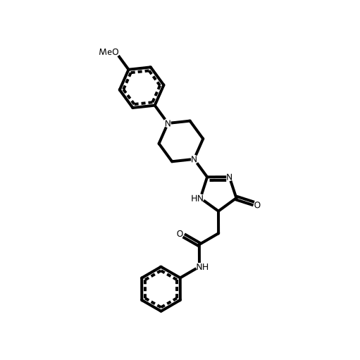 COc1ccc(N2CCN(C3=NC(=O)C(CC(=O)Nc4ccccc4)N3)CC2)cc1